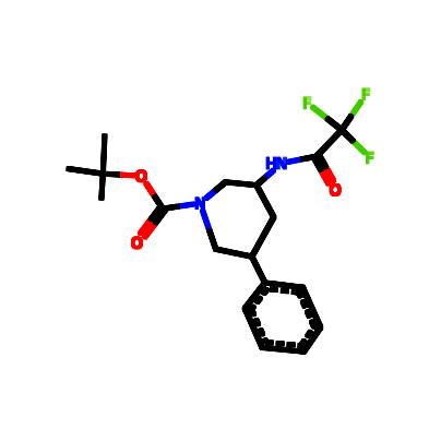 CC(C)(C)OC(=O)N1CC(NC(=O)C(F)(F)F)CC(c2ccccc2)C1